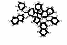 c1ccc(N(c2ccc3c(c2)-c2ccccc2C32c3ccccc3-c3c2cc(N(c2ccccc2)c2ccc4ccccc4c2)c2ccccc32)c2ccc3ccccc3c2)cc1